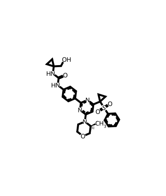 C[C@H]1COCCN1c1cc(C2(S(=O)(=O)c3ccccc3)CC2)nc(-c2ccc(NC(=O)NC3(CO)CC3)cc2)n1